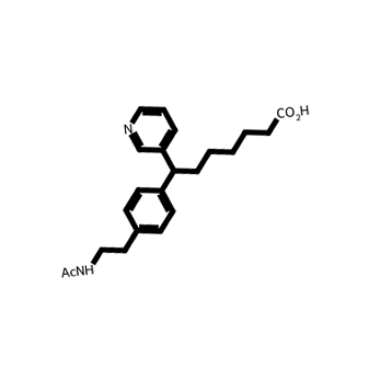 CC(=O)NCCc1ccc(C(CCCCCC(=O)O)c2cccnc2)cc1